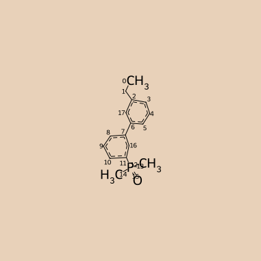 CCc1cccc(-c2cccc(P(C)(C)=O)c2)c1